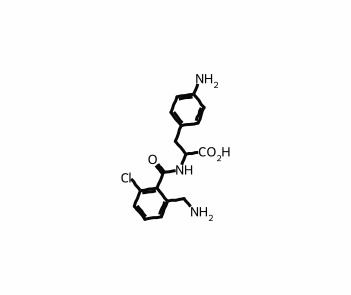 NCc1cccc(Cl)c1C(=O)NC(Cc1ccc(N)cc1)C(=O)O